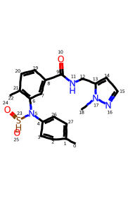 Cc1ccc(N(c2cc(C(=O)NCc3ccnn3C)ccc2C)[SH](=O)=O)cc1